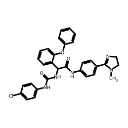 CN1CCN=C1c1ccc(NC(=O)C(NC(=O)Nc2ccc(Cl)cc2)c2ccccc2Oc2ccccc2)cc1